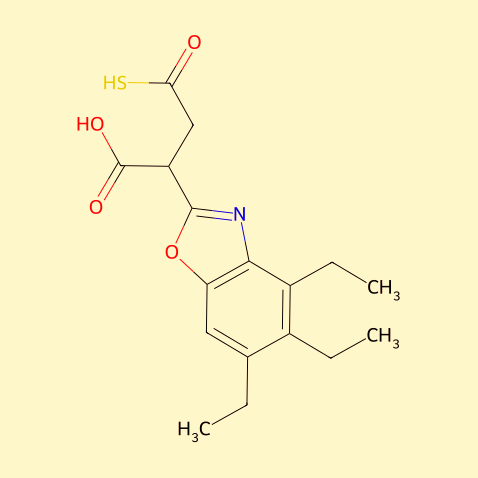 CCc1cc2oc(C(CC(=O)S)C(=O)O)nc2c(CC)c1CC